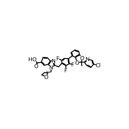 CC1(c2ccc(Cl)cn2)Oc2cccc(-c3cc(F)c(Cc4nc5ccc(C(=O)O)cc5n4C[C@@H]4CCO4)c(F)c3F)c2O1